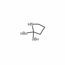 CCCCC1(CCCC)CCCN1